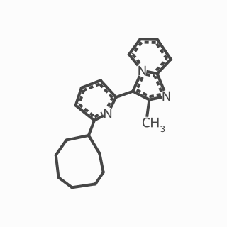 Cc1nc2ccccn2c1-c1cccc(C2CCCCCCC2)n1